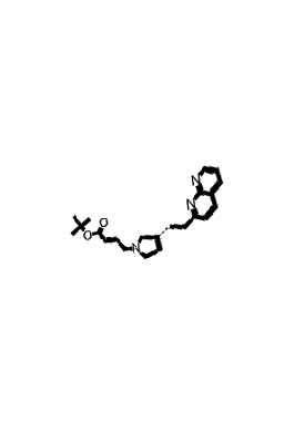 CC(C)(C)OC(=O)/C=C/CN1CC[C@@H](CCc2ccc3cccnc3n2)C1